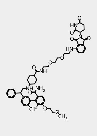 COCCOc1ccc(C(N)=O)c(-c2cc(C(CNC3CCC(C(=O)NCCOCCOCCNc4cccc5c4C(=O)N(C4CCC(=O)NC4=O)C5=O)CC3)c3ccccc3)ccc2Cl)c1F